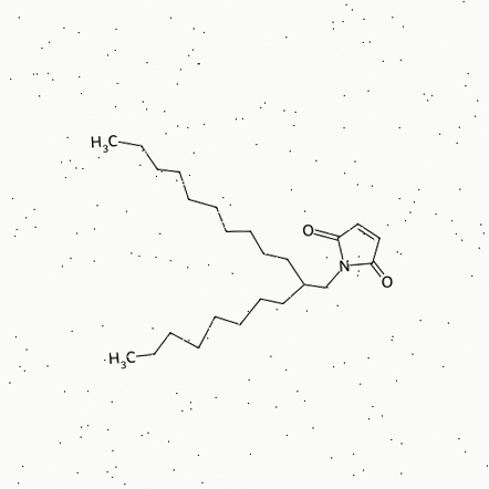 CCCCCCCCCCC(CCCCCCCC)CN1C(=O)C=CC1=O